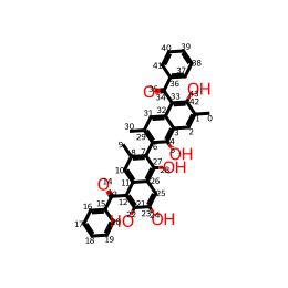 Cc1cc2c(O)c(-c3c(C)cc4c(C(=O)c5ccccc5)c(O)c(O)cc4c3O)c(C)cc2c(C(=O)c2ccccc2)c1O